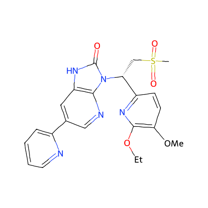 CCOc1nc([C@@H](CS(C)(=O)=O)n2c(=O)[nH]c3cc(-c4ccccn4)cnc32)ccc1OC